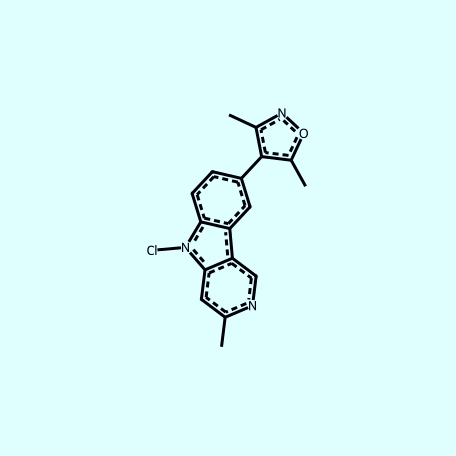 Cc1cc2c(cn1)c1cc(-c3c(C)noc3C)ccc1n2Cl